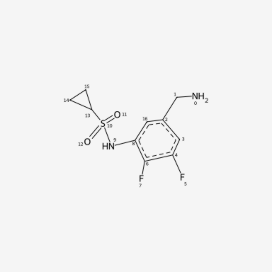 NCc1cc(F)c(F)c(NS(=O)(=O)C2CC2)c1